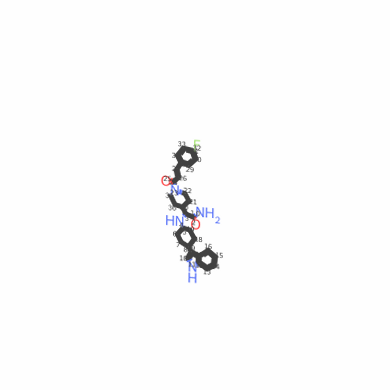 NC(=O)C(NC1CCC(c2c[nH]c3ccccc23)CC1)C1CCN(C(=O)C=Cc2ccc(F)cc2)CC1